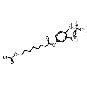 CCC(=O)OCCCCCCCC(=O)Oc1ccc(NS(=O)(=O)C(F)(F)F)c(C(F)(F)F)c1